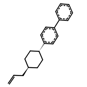 C=CC[C@H]1CC[C@H](c2ccc(-c3ccccc3)cc2)CC1